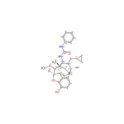 COC1[C@@H]2Oc3c(O)ccc4c3[C@@]23CCN(CC2CC2)[C@H](C4)C(C[C@@]1(C)CNC(=O)Nc1ccccc1)C3